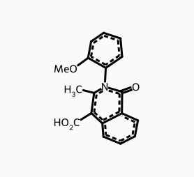 COc1ccccc1-n1c(C)c(C(=O)O)c2ccccc2c1=O